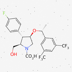 C[C@@H](O[C@H]1CN(C(=O)O)[C@@H](CO)[C@@H]1c1ccc(F)cc1)c1cc(C(F)(F)F)cc(C(F)(F)F)c1